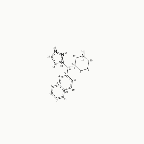 c1ccc2cc(C([C@H]3CCCNC3)n3ncnn3)ccc2c1